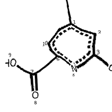 Cc1cc(Cl)nc(C(=O)O)c1